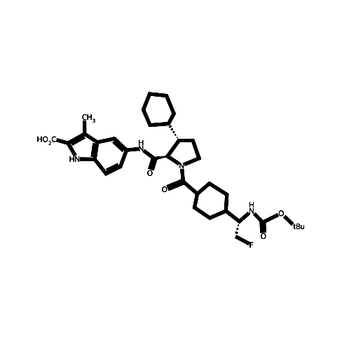 Cc1c(C(=O)O)[nH]c2ccc(NC(=O)[C@H]3[C@H](C4CCCCC4)CCN3C(=O)C3CCC([C@@H](CF)NC(=O)OC(C)(C)C)CC3)cc12